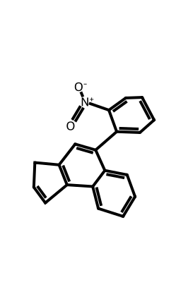 O=[N+]([O-])c1ccccc1-c1cc2c(c3ccccc13)C=CC2